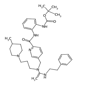 C=C(NCCc1ccccc1)N(CCCN1CCC(C)CC1)Cc1ccc(C(=O)Nc2ccccc2NC(=O)OC(C)(C)C)nc1